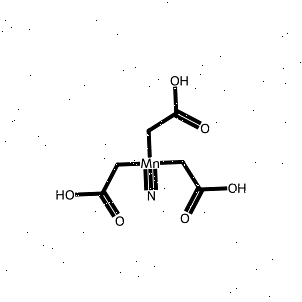 [N]#[Mn]([CH2]C(=O)O)([CH2]C(=O)O)[CH2]C(=O)O